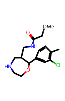 COCC(=O)NCC1CNCCOC1c1ccc(C)c(Cl)c1